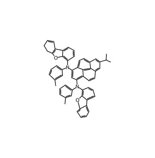 Cc1cccc(N(c2cc(N(c3cccc(C)c3)c3cccc4c3oc3ccccc34)c3ccc4cc(C(C)C)cc5ccc2c3c54)c2cccc3c4c(oc23)CCC=C4)c1